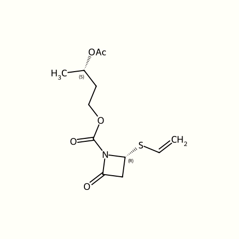 C=CS[C@@H]1CC(=O)N1C(=O)OCC[C@H](C)OC(C)=O